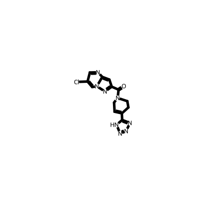 O=C(c1cc2ncc(Cl)cn2n1)N1CC=C(c2nnn[nH]2)CC1